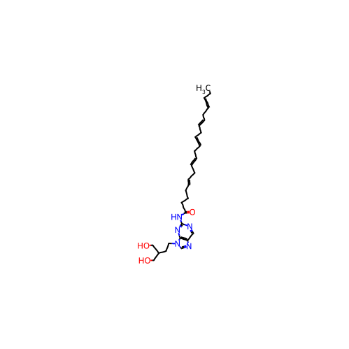 CCC=CCC=CCC=CCC=CCC=CCCCC(=O)Nc1ncc2ncn(CCC(CO)CO)c2n1